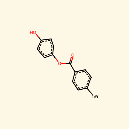 CCCc1ccc(C(=O)Oc2ccc(O)cc2)cc1